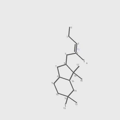 CC/C=C(/I)CC1CC2CCC(C)(I)CC2C1(C)C